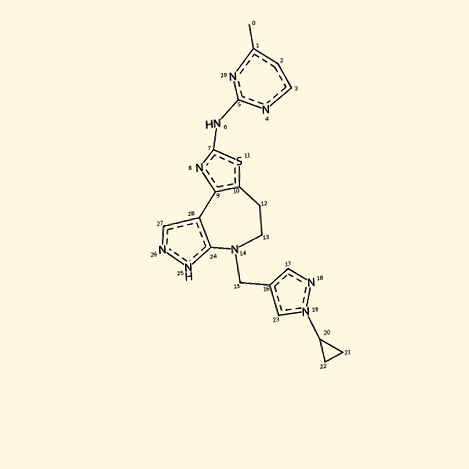 Cc1ccnc(Nc2nc3c(s2)CCN(Cc2cnn(C4CC4)c2)c2[nH]ncc2-3)n1